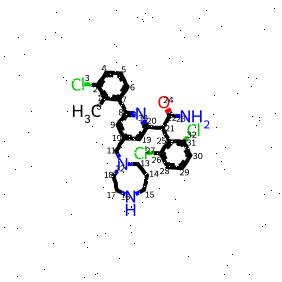 Cc1c(Cl)cccc1-c1cc(CN2CCCNCC2)cc(C(C(N)=O)c2c(Cl)cccc2Cl)n1